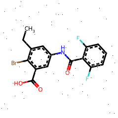 CCc1cc(NC(=O)c2c(F)cccc2F)cc(C(=O)O)c1Br